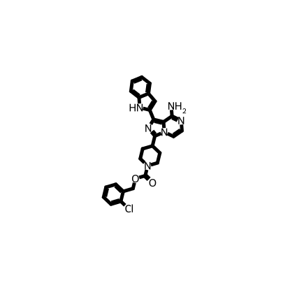 Nc1nccn2c(C3CCN(C(=O)OCc4ccccc4Cl)CC3)nc(-c3cc4ccccc4[nH]3)c12